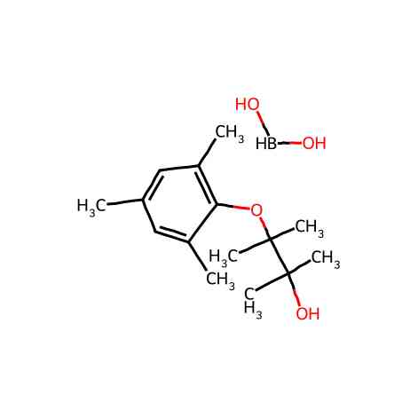 Cc1cc(C)c(OC(C)(C)C(C)(C)O)c(C)c1.OBO